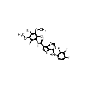 COc1c(Cl)c(NC(=O)c2csc3c(Nc4ccc(F)c(F)c4F)ncnc23)c(I)c(OC)c1Br